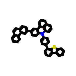 c1ccc(-c2cc(-c3ccc4ccc5ccccc5c4c3)ccc2N(c2ccccc2)c2ccc(-c3cccc4c3sc3ccccc34)cc2)cc1